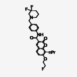 CCCc1c(OCCF)ccc2cc(C(=O)Nc3ccc(CN4CCCC(F)(F)C4)cc3)c(=O)oc12